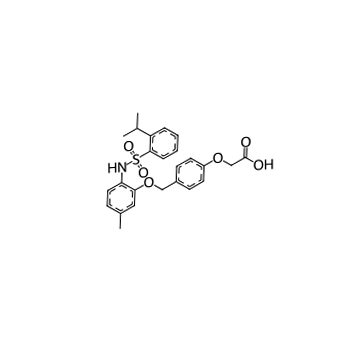 Cc1ccc(NS(=O)(=O)c2ccccc2C(C)C)c(OCc2ccc(OCC(=O)O)cc2)c1